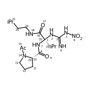 CCC[C@](NC(=N)N[N+](=O)[O-])(NC(=O)[C@@H]1CCCN1C(C)=O)C(=O)N[CH]CC(C)C